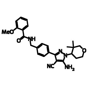 COc1ccccc1C(=O)NCc1ccc(-c2nn(C3CCOCC3(C)C)c(N)c2C#N)cc1